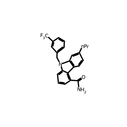 CCCc1c[c]c2c3c(C(N)=O)cccc3n(Cc3cccc(C(F)(F)F)c3)c2c1